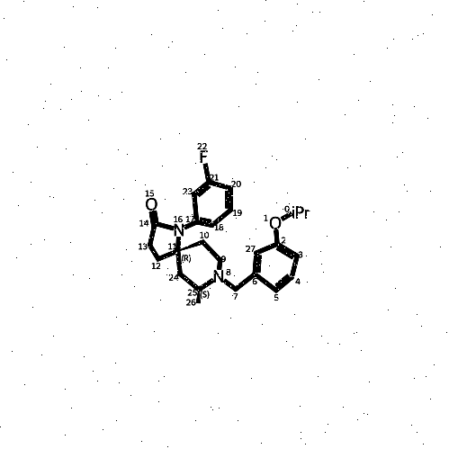 CC(C)Oc1cccc(CN2CC[C@]3(CCC(=O)N3c3cccc(F)c3)C[C@@H]2C)c1